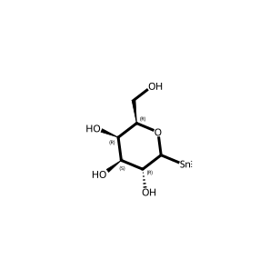 OC[C@H]1O[CH]([Sn])[C@H](O)[C@@H](O)[C@H]1O